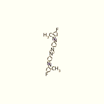 Cc1cc(F)ccc1/N=N/c1ccc(N2CCN(c3ccc(/N=N/c4ccc(F)cc4C)cc3)CC2)cc1